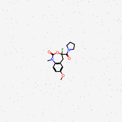 COc1ccc2c(c1)CC(F)(C(=O)N1CCCC1)OC(=O)N2C